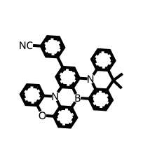 CC1(C)c2ccccc2N2c3cc(-c4cccc(C#N)c4)cc4c3B(c3cccc5c3N4c3ccccc3O5)c3cccc1c32